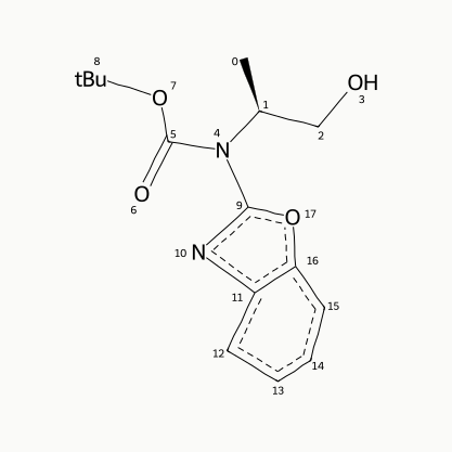 C[C@@H](CO)N(C(=O)OC(C)(C)C)c1nc2ccccc2o1